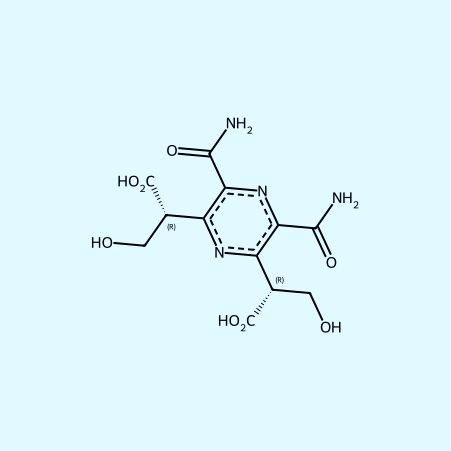 NC(=O)c1nc(C(N)=O)c([C@H](CO)C(=O)O)nc1[C@H](CO)C(=O)O